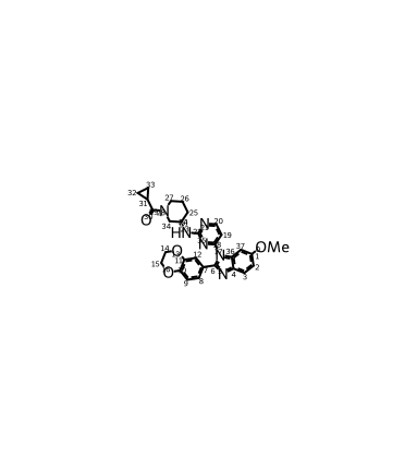 COc1ccc2nc(-c3ccc4c(c3)OCCO4)n(-c3ccnc(N[C@H]4CCCN(C(=O)C5CC5)C4)n3)c2c1